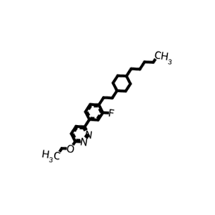 CCCCCC1CCC(CCc2ccc(-c3ccc(OCC)nn3)cc2F)CC1